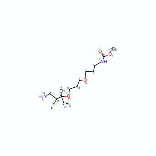 CC(C)(C)OC(=O)NCCCOCCCOC(C)(C)C(F)CN